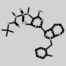 CN(C(=O)OC(C)(C)C)S(=O)(=O)N(C)c1c(N)nc(-c2nn(Cc3ccccc3F)c3ncccc23)nc1N